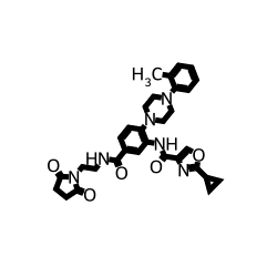 Cc1ccccc1N1CCN(c2ccc(C(=O)NCCN3C(=O)CCC3=O)cc2NC(=O)c2coc(C3CC3)n2)CC1